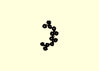 c1ccc(-n2c3ccccc3c3cc(-c4cccc(-n5c6ccccc6c6c(Oc7cccc8c7c7ccccc7n8-c7cccc(-c8ccc9c(c8)c8ncccc8n9-c8ccccc8)c7)cccc65)c4)ccc32)cc1